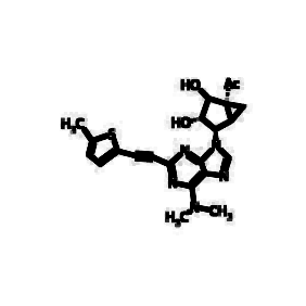 CC(=O)[C@]12CC1[C@@H](n1cnc3c(N(C)C)nc(C#Cc4ccc(C)s4)nc31)[C@H](O)C2O